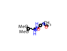 COc1cc(CCc2cc(NC(=O)c3ccc(CN(C)CC4CCCO4)cc3)n[nH]2)cc(OC)c1